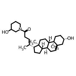 CC(CCC(=O)N1CCCC(O)C1)[C@H]1CC[C@H]2[C@@H]3CC=C4C[C@@H](O)CC[C@]4(C)[C@H]3CC[C@]12C